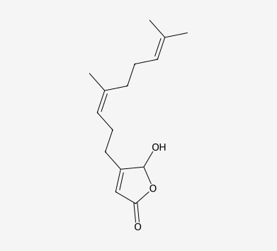 CC(C)=CCCC(C)=CCCC1=CC(=O)OC1O